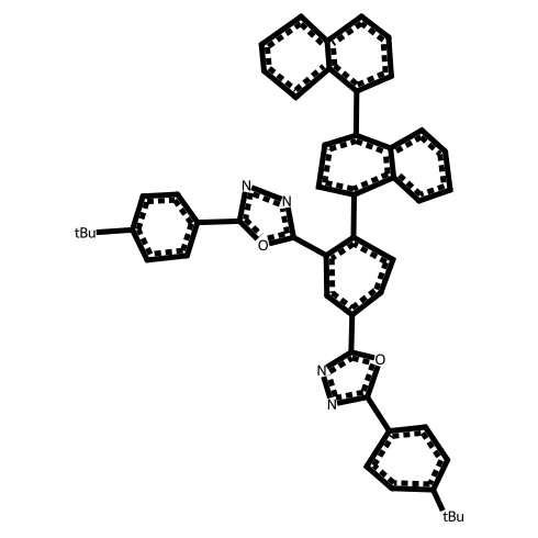 CC(C)(C)c1ccc(-c2nnc(-c3ccc(-c4ccc(-c5cccc6ccccc56)c5ccccc45)c(-c4nnc(-c5ccc(C(C)(C)C)cc5)o4)c3)o2)cc1